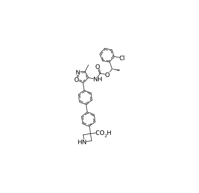 Cc1noc(-c2ccc(-c3ccc(C4(C(=O)O)CNC4)cc3)cc2)c1NC(=O)O[C@H](C)c1ccccc1Cl